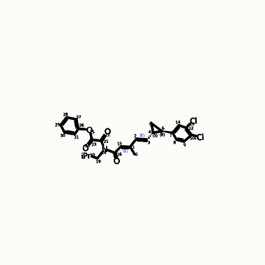 CC(/C=C/[C@@H]1C[C@H]1c1ccc(Cl)c(Cl)c1)=C\C(=O)N(CC(C)C)C(=O)C(=O)Oc1ccccc1